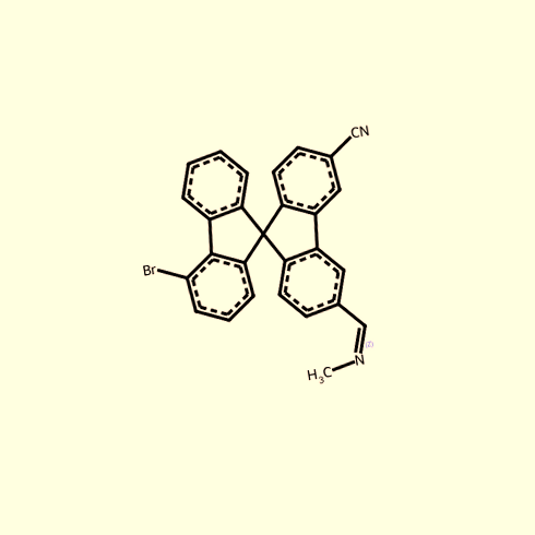 C/N=C\c1ccc2c(c1)-c1cc(C#N)ccc1C21c2ccccc2-c2c(Br)cccc21